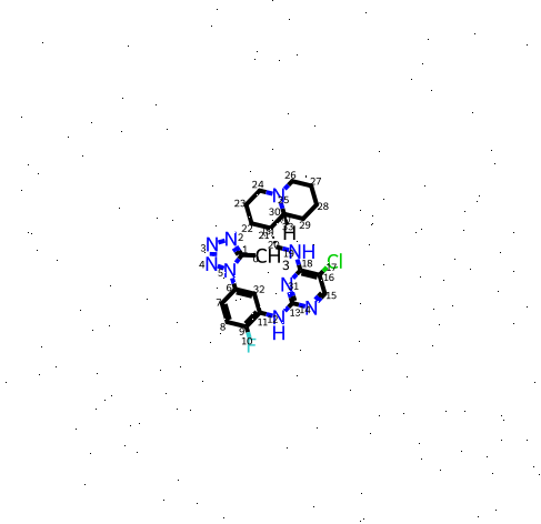 Cc1nnnn1-c1ccc(F)c(Nc2ncc(Cl)c(NC[C@@H]3CCCN4CCCC[C@H]34)n2)c1